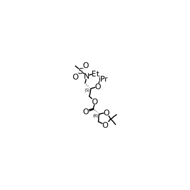 CCN(C[C@@H](COC(=O)[C@H]1COC(C)(C)O1)OC(C)C)S(C)(=O)=O